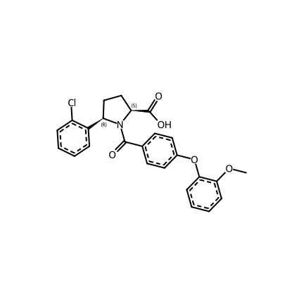 COc1ccccc1Oc1ccc(C(=O)N2[C@@H](c3ccccc3Cl)CC[C@H]2C(=O)O)cc1